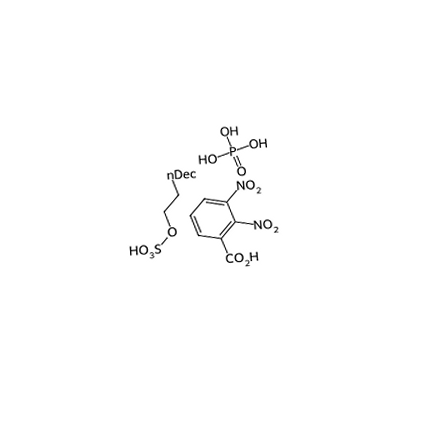 CCCCCCCCCCCCOS(=O)(=O)O.O=C(O)c1cccc([N+](=O)[O-])c1[N+](=O)[O-].O=P(O)(O)O